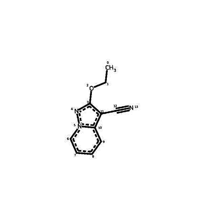 CCOc1nn2ccccc2c1C#N